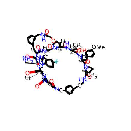 CC[C@@H]1NC(=O)CCC(=O)N2CCCCCCn3cc(c4cc(F)ccc43)C[C@@H]3NC(=O)[C@H](Cc4cccc(c4)CNC(=O)CO[C@H]4CCN(C3=O)[C@@H]4C(=O)N[C@@H]([C@@H](C)O)C(=O)N[C@@H](Cc3ccc(OC)cc3)C(=O)N3CCC[C@@]3(C)C(=O)NCCc3ccc(cc3)C2)NC(=O)[C@@H](CN)NC1=O